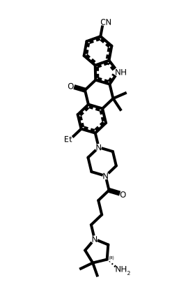 CCc1cc2c(cc1N1CCN(C(=O)CCCN3C[C@H](N)C(C)(C)C3)CC1)C(C)(C)c1[nH]c3cc(C#N)ccc3c1C2=O